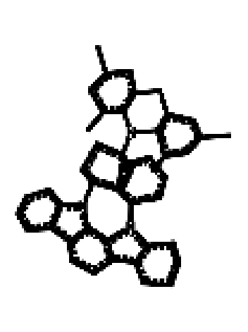 Cc1cc(C)c(N(c2ccc(-n3c4ccccc4c4ccc5c6ccccc6n(-c6ccccc6)c5c43)cc2)c2c(C)cc(C)cc2C)c(C)c1